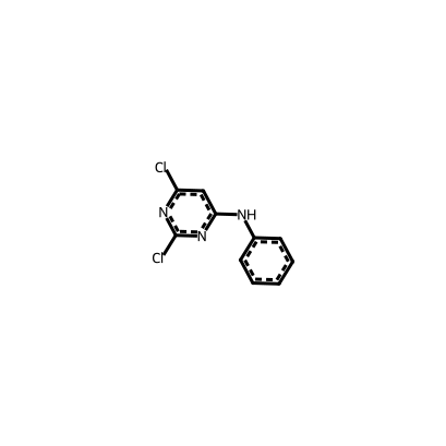 Clc1cc(Nc2ccccc2)nc(Cl)n1